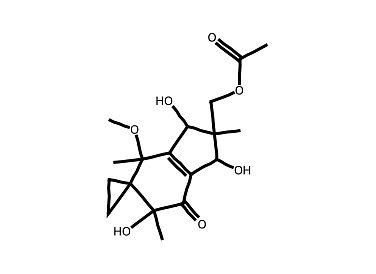 COC1(C)C2=C(C(=O)C(C)(O)C13CC3)C(O)C(C)(COC(C)=O)C2O